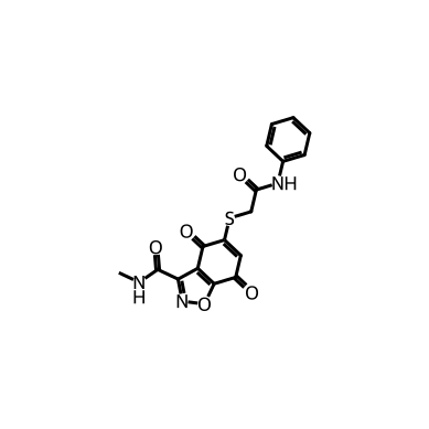 CNC(=O)c1noc2c1C(=O)C(SCC(=O)Nc1ccccc1)=CC2=O